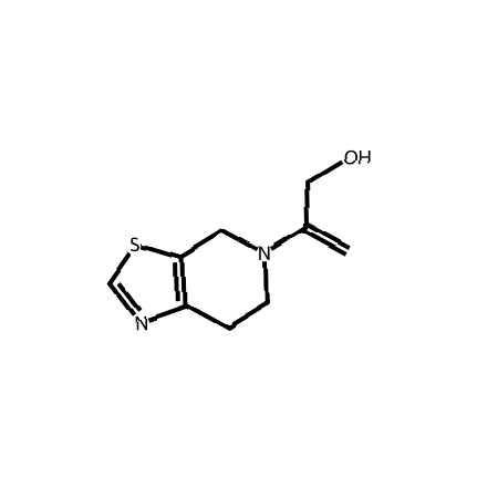 C=C(CO)N1CCc2ncsc2C1